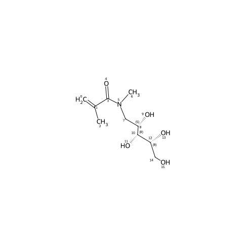 C=C(C)C(=O)N(C)C[C@H](O)[C@@H](O)[C@H](O)CO